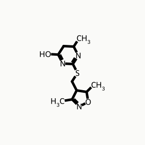 CC1=NOC(C)C1CSC1=NC(C)CC(O)=N1